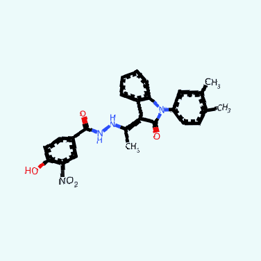 CC(NNC(=O)c1ccc(O)c([N+](=O)[O-])c1)=C1C(=O)N(c2ccc(C)c(C)c2)c2ccccc21